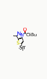 Cc1nn(C(=O)OCC(C)C)c2c[c]([Sn]([CH3])([CH3])[CH3])sc12